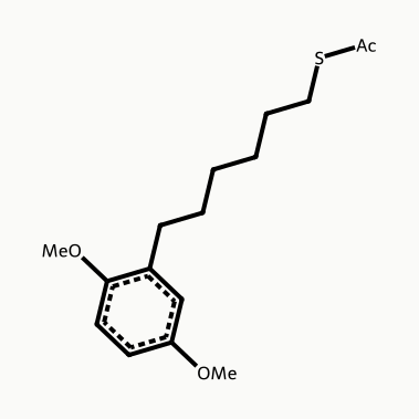 COc1ccc(OC)c(CCCCCCSC(C)=O)c1